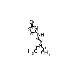 CCN(CC)CCNC1=NC(=O)SC1